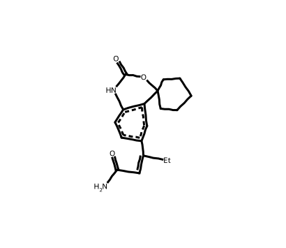 CC/C(=C/C(N)=O)c1ccc2c(c1)C1(CCCCC1)OC(=O)N2